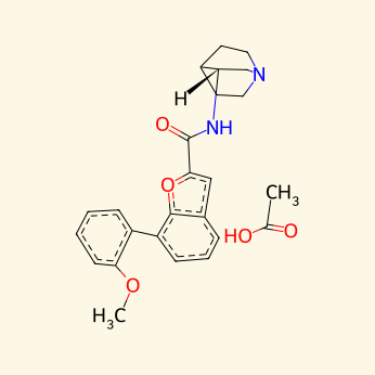 CC(=O)O.COc1ccccc1-c1cccc2cc(C(=O)N[C@H]3CN4CCC3CC4)oc12